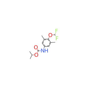 Cc1cc(NC(=O)OC(C)C)cc(C)c1OC(F)F